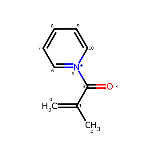 C=C(C)C(=O)[n+]1ccccc1